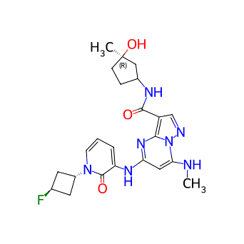 CNc1cc(Nc2cccn([C@H]3C[C@H](F)C3)c2=O)nc2c(C(=O)NC3CC[C@@](C)(O)C3)cnn12